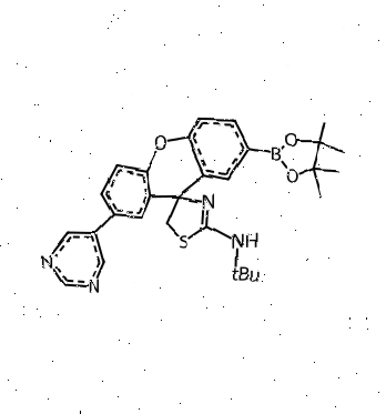 CC(C)(C)NC1=NC2(CS1)c1cc(B3OC(C)(C)C(C)(C)O3)ccc1Oc1ccc(-c3cncnc3)cc12